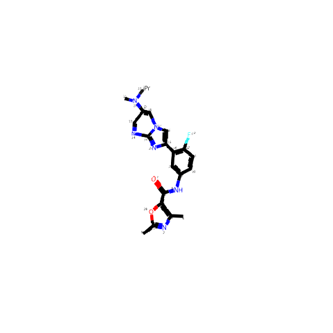 Cc1nc(C)c(C(=O)Nc2ccc(F)c(-c3cn4cc(N(C)C(C)C)cnc4n3)c2)o1